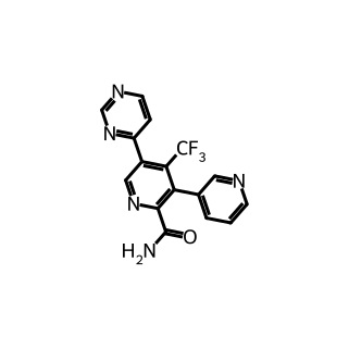 NC(=O)c1ncc(-c2ccncn2)c(C(F)(F)F)c1-c1cccnc1